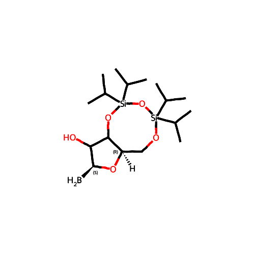 B[C@@H]1O[C@@H]2CO[Si](C(C)C)(C(C)C)O[Si](C(C)C)(C(C)C)OC2C1O